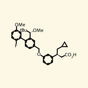 COc1ccc(F)c(-c2ccc(COc3cccc([C@H](CC(=O)O)CC4CC4)c3)cc2[C@@H](OC)C(C)(C)C)c1